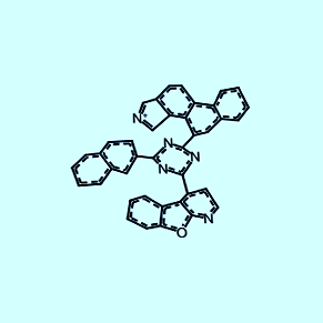 C1=[N+]=Cc2c1ccc1c2c(-c2nc(-c3ccc4ccccc4c3)nc(-c3ccnc4oc5ccccc5c34)n2)cc2ccccc21